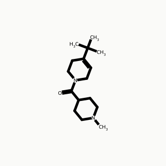 CN1CCC(C(=O)N2CC=C(C(C)(C)C)CC2)CC1